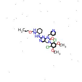 C=CCOCNC1CCCCC1Nc1ncc2c(n1)N(Cc1cccnc1)C(=O)N(c1c(Cl)c(OC)cc(OC)c1Cl)C2